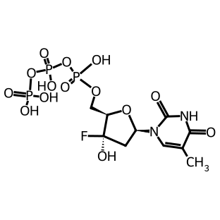 Cc1cn([C@H]2C[C@@](O)(F)[C@@H](COP(=O)(O)OP(=O)(O)OP(=O)(O)O)O2)c(=O)[nH]c1=O